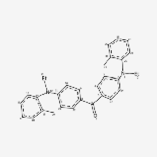 CCN(c1ccc(C(=O)c2ccc(N(CC)c3ccccc3C)cc2)cc1)c1ccccc1C